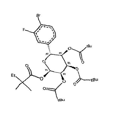 CCC(C)(C)C(=O)O[C@H]1O[C@H](c2ccc(Br)c(F)c2)[C@@H](OC(=O)C(C)(C)C)[C@@H](OC(=O)C(C)(C)C)[C@H]1OC(=O)C(C)(C)C